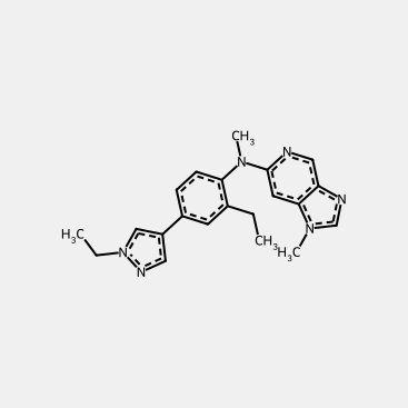 CCc1cc(-c2cnn(CC)c2)ccc1N(C)c1cc2c(cn1)ncn2C